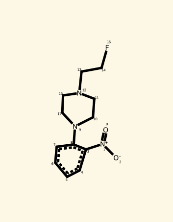 O=[N+]([O-])c1ccccc1N1CCN(CCF)CC1